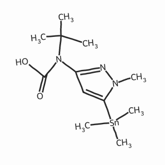 Cn1nc(N(C(=O)O)C(C)(C)C)c[c]1[Sn]([CH3])([CH3])[CH3]